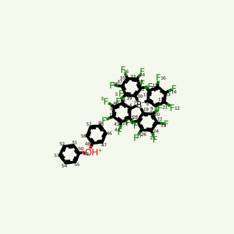 Fc1c(F)c(F)c([B-](c2c(F)c(F)c(F)c(F)c2F)(c2c(F)c(F)c(F)c(F)c2F)c2c(F)c(F)c(F)c(F)c2F)c(F)c1F.c1ccc([OH+]c2ccccc2)cc1